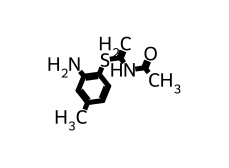 C=C(NC(C)=O)Sc1ccc(C)cc1N